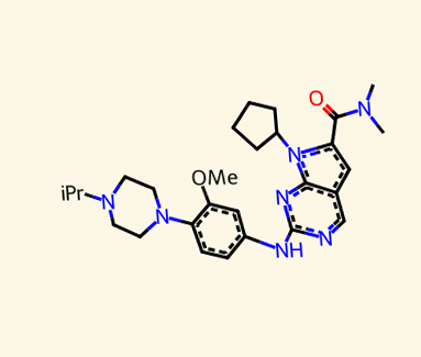 COc1cc(Nc2ncc3cc(C(=O)N(C)C)n(C4CCCC4)c3n2)ccc1N1CCN(C(C)C)CC1